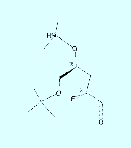 C[SiH](C)O[C@H](COC(C)(C)C)C[C@@H](F)C=O